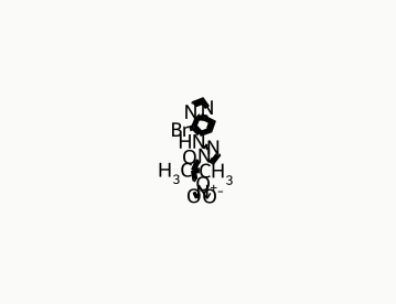 CC(C)(CO[N+](=O)[O-])C(=O)N1CCN=C1Nc1ccc2nccnc2c1Br